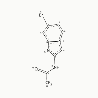 O=C(Nc1cn2ccc(Br)cc2n1)C(F)(F)F